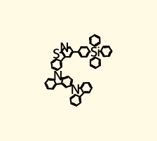 c1ccc([Si](c2ccccc2)(c2ccccc2)c2ccc(-c3cnc4sc5ccc(-n6c7ccccc7c7cc(-n8c9ccccc9c9ccccc98)ccc76)cc5c4c3)cc2)cc1